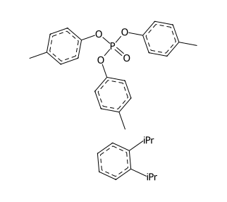 CC(C)c1ccccc1C(C)C.Cc1ccc(OP(=O)(Oc2ccc(C)cc2)Oc2ccc(C)cc2)cc1